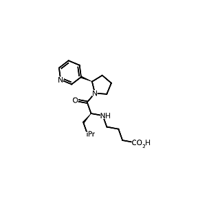 CC(C)C[C@H](NCCCC(=O)O)C(=O)N1CCC[C@@H]1c1cccnc1